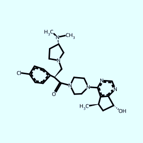 C[C@@H]1C[C@@H](O)c2ncnc(N3CCN(C(=O)[C@H](CN4CC[C@H](N(C)C)C4)c4ccc(Cl)cc4)CC3)c21